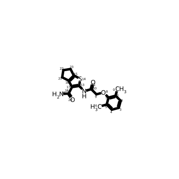 Cc1cccc(C)c1OCC(=O)Nc1sc2c(c1C(N)=O)CCC2